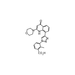 Cc1c(C(=O)O)cccc1-n1cc(-c2cccc3c(=O)cc(N4CCOCC4)[nH]c23)nn1